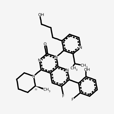 CC(C)c1nccc(CCCO)c1-n1c(=O)nc(N2CCCC[C@@H]2C)c2cc(F)c(-c3c(O)cccc3F)nc21